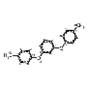 Cc1ccc(Oc2[c]ccc(Oc3ccc(C)cc3)c2)cc1